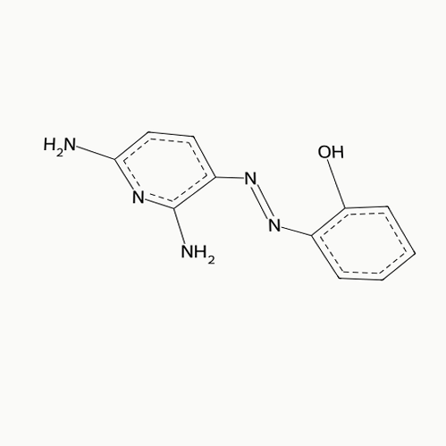 Nc1ccc(N=Nc2ccccc2O)c(N)n1